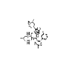 Cc1cccc(-c2sc(C)nc2C(=O)N2C[C@@H]3CC(C)C[C@@H]3[C@H]2CNC(=O)c2ccnc(C)c2)c1